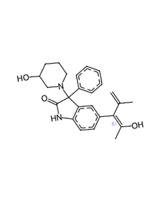 C=C(C)/C(=C(/C)O)c1ccc2c(c1)C(c1ccccc1)(N1CCCC(O)C1)C(=O)N2